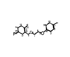 CC1=CCC(OCCOCC2=C(F)CCC(F)C2)CC1